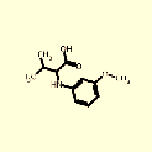 COc1cccc(NC(C(=O)O)C(C)C)c1